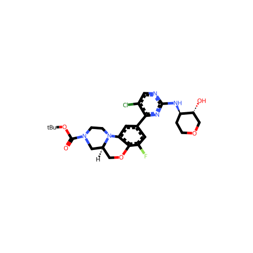 CC(C)(C)OC(=O)N1CCN2c3cc(-c4nc(N[C@@H]5CCOC[C@H]5O)ncc4Cl)cc(F)c3OC[C@H]2C1